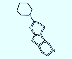 c1cc2nc3nc(N4CCCCC4)ccn3c2cn1